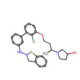 CC(CCOc1cccc(-c2cccc(NN3Cc4ccccc4S3)c2)c1Cl)N1CCC(O)C1